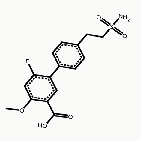 COc1cc(F)c(-c2ccc(CCS(N)(=O)=O)cc2)cc1C(=O)O